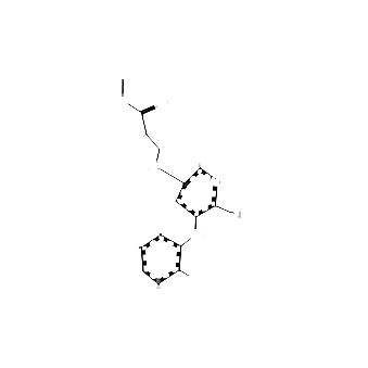 COC(=O)CCSc1cnc(N)c(Sc2ccccc2O)c1